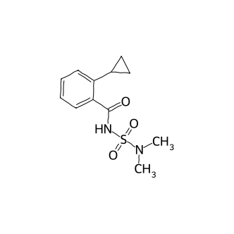 CN(C)S(=O)(=O)NC(=O)c1ccccc1C1CC1